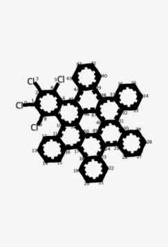 Clc1c(Cl)c(Cl)c2c(c1Cl)c1c3ccccc3c3c4ccccc4c4c5ccccc5c5c6ccccc6c6c7ccccc7c2c2c6c5c4c3c12